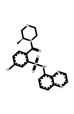 C[C@H]1COCCN1C(=O)c1ccc(Cl)cc1S(=O)(=O)Nc1cccc2nccnc12